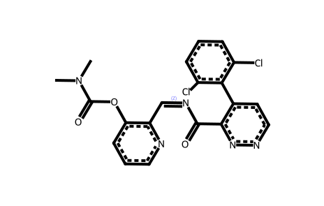 CN(C)C(=O)Oc1cccnc1/C=N\C(=O)c1nnccc1-c1c(Cl)cccc1Cl